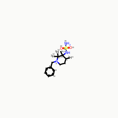 [2H]C1CCN(Cc2ccccc2)C([2H])([2H])C1(C)NS(N)(=O)=O